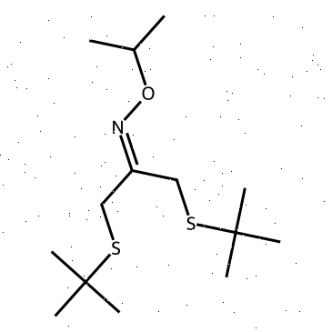 CC(C)ON=C(CSC(C)(C)C)CSC(C)(C)C